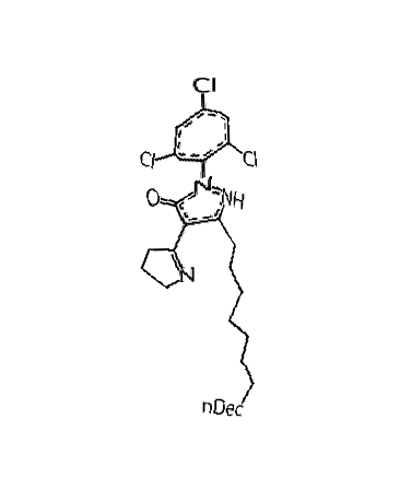 CCCCCCCCCCCCCCCCCc1[nH]n(-c2c(Cl)cc(Cl)cc2Cl)c(=O)c1C1=NCCC1